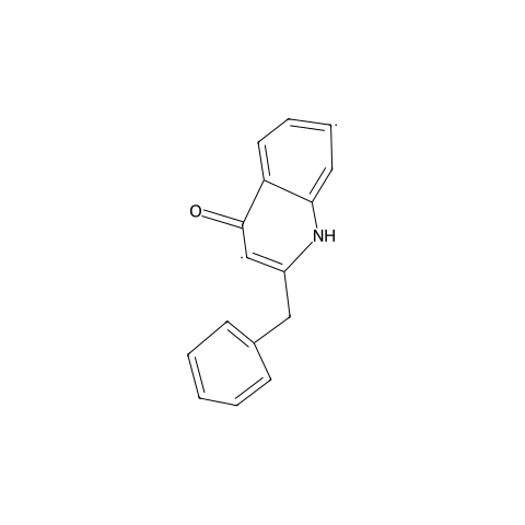 O=c1[c]c(Cc2ccccc2)[nH]c2c[c]ccc12